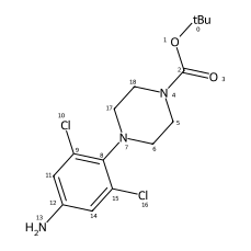 CC(C)(C)OC(=O)N1CCN(c2c(Cl)cc(N)cc2Cl)CC1